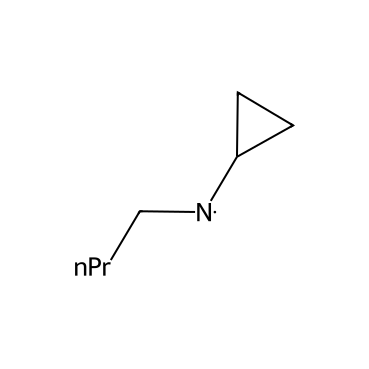 CCCC[N]C1CC1